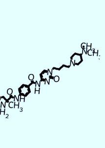 CN(C)C1CCN(CCCCn2ccc(NC(=O)c3ccc(NC(=O)C(C)(N)CO)cc3)nc2=O)CC1